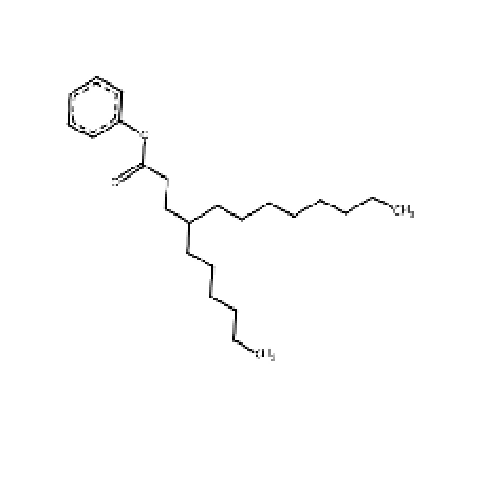 CCCCCCCCC(CCCCCC)CCC(=O)Oc1ccccc1